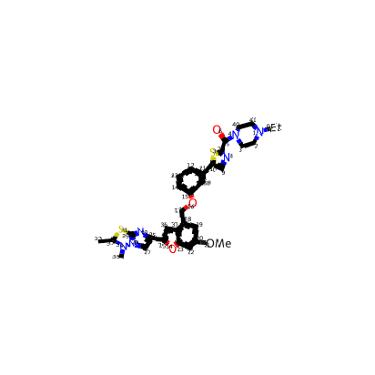 CCN1CCN(C(=O)c2ncc(-c3cccc(OCc4cc(OC)cc5oc(-c6cn7c(n6)SC(C)N7C)cc45)c3)s2)CC1